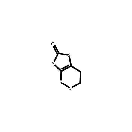 O=c1sc2c(s1)SSCC2